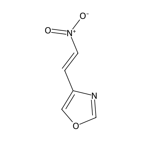 O=[N+]([O-])C=Cc1cocn1